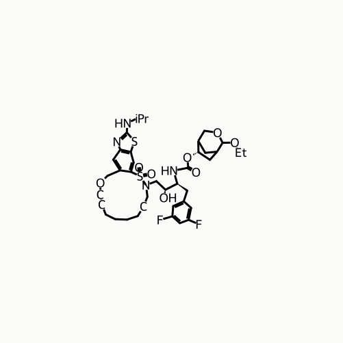 CCOC1OCC2CC1C[C@@H]2OC(=O)N[C@@H](Cc1cc(F)cc(F)c1)[C@H](O)CN1CCCCCCCCOCc2cc3nc(NC(C)C)sc3cc2S1(=O)=O